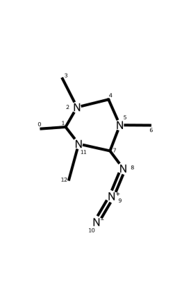 CC1N(C)CN(C)C(N=[N+]=[N-])N1C